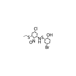 CCSc1cc(Cl)cc(NSc2cc(Br)ccc2O)c1N=O